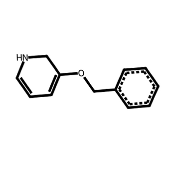 C1=CNCC(OCc2ccccc2)=C1